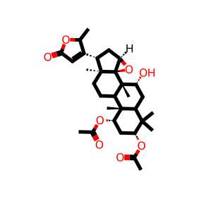 CC(=O)O[C@H]1C[C@@H](OC(C)=O)C(C)(C)C2C[C@@H](O)[C@]3(C)C(CC[C@@]4(C)[C@H](C5=CC(=O)OC5C)C[C@H]5O[C@]543)[C@]21C